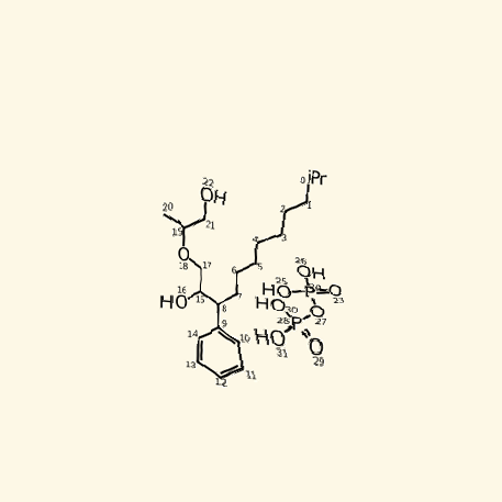 CC(C)CCCCCCCC(c1ccccc1)C(O)COC(C)CO.O=P(O)(O)OP(=O)(O)O